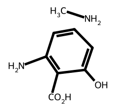 CN.Nc1cccc(O)c1C(=O)O